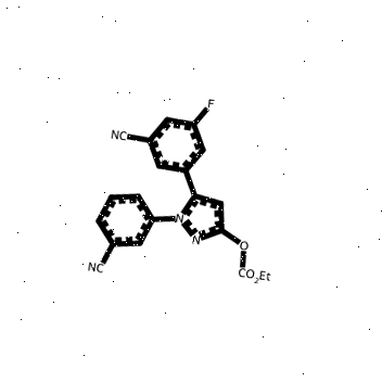 CCOC(=O)Oc1cc(-c2cc(F)cc(C#N)c2)n(-c2cccc(C#N)c2)n1